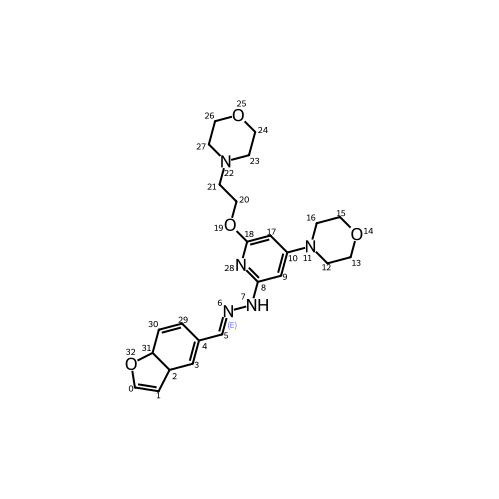 C1=CC2C=C(/C=N/Nc3cc(N4CCOCC4)cc(OCCN4CCOCC4)n3)C=CC2O1